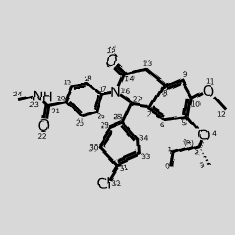 CC[C@@H](C)Oc1cc2c(cc1OC)CC(=O)N(c1ccc(C(=O)NC)cc1)C2c1ccc(Cl)cc1